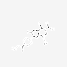 NCC(F)=C1CCN(c2cc3c(cc2F)c(=O)c(C(=O)O)cn3C2CC2)CC1